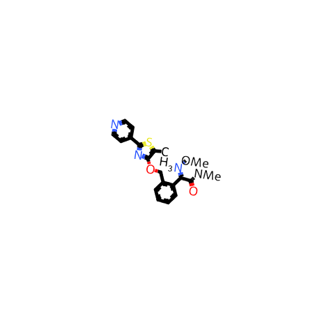 CNC(=O)C(=NOC)c1ccccc1COc1nc(-c2ccncc2)sc1C